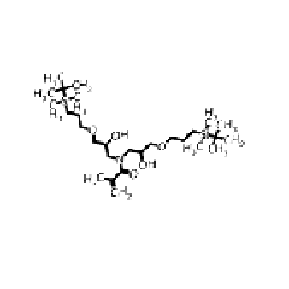 C=C(C)C(=O)N(CC(O)COCCC[Si](C)(C)C(C)(C)C)CC(O)COCCC[Si](C)(C)C(C)(C)C